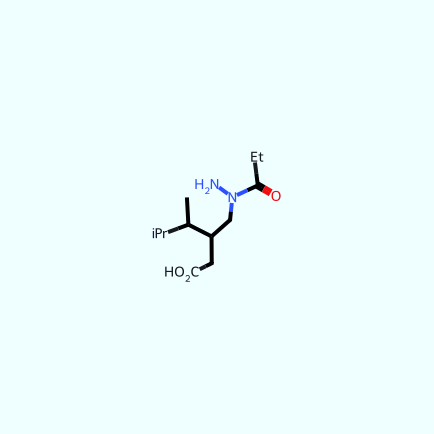 CCC(=O)N(N)CC(CC(=O)O)C(C)C(C)C